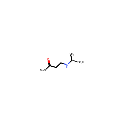 COC(=O)CCN[C@@H](C)C(=O)O